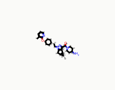 Cc1cccnc1O[C@H]1CC[C@@H](CCn2nc(C(=O)N3CCC(N)CC3)c3c2CC2C3[C@@H]2C)CC1